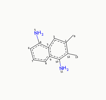 Cc1cc2c(N)cccc2c(N)c1C